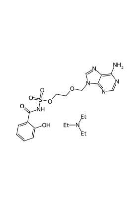 CCN(CC)CC.Nc1ncnc2c1ncn2COCCOS(=O)(=O)NC(=O)c1ccccc1O